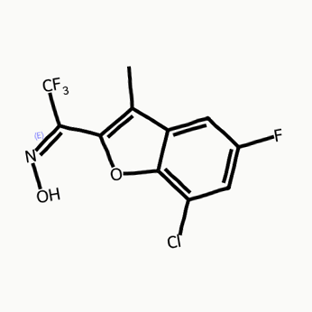 Cc1c(/C(=N\O)C(F)(F)F)oc2c(Cl)cc(F)cc12